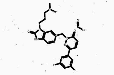 CN(C)CCCn1c(=O)[nH]c2ccc(Cn3nc(-c4cc(F)cc(F)c4)ccc3=O)cc21.O=CO